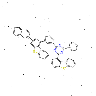 c1ccc(-c2nc(-c3cccc(-c4cc(-c5ccc6ccccc6c5)cc5sc6ccccc6c45)c3)nc(-c3cccc4sc5ccccc5c34)n2)cc1